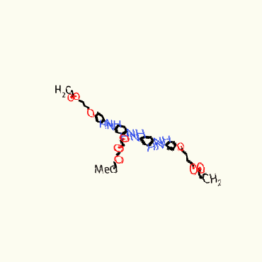 C=CC(=O)OCCCCOc1ccc(NNc2ccc(NNc3ccc(NNc4ccc(OCCCCOC(=O)C=C)cc4)cc3OCCOCCOCCOC)cc2)cc1